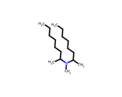 CCCCCCC(C)N(C)C(C)CCCCCC